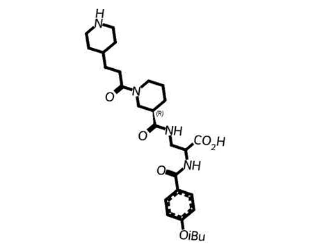 CC(C)COc1ccc(C(=O)NC(CNC(=O)[C@@H]2CCCN(C(=O)CCC3CCNCC3)C2)C(=O)O)cc1